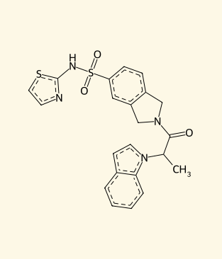 CC(C(=O)N1Cc2ccc(S(=O)(=O)Nc3nccs3)cc2C1)n1ccc2ccccc21